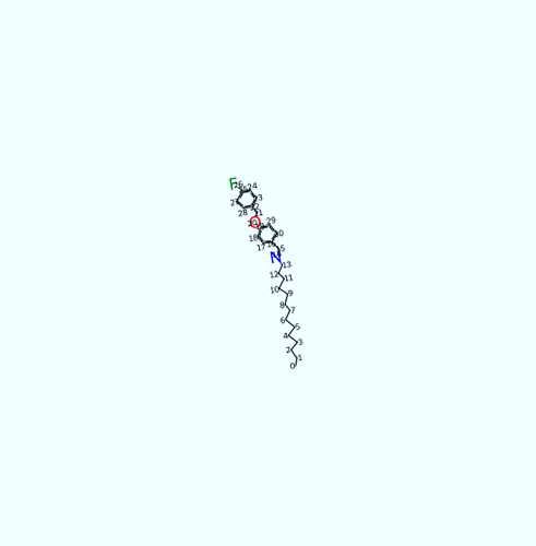 CCCCCCCCCCCCCCN=Cc1ccc(OCc2ccc(F)cc2)cc1